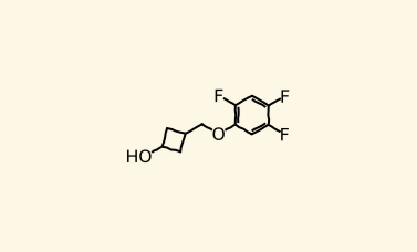 OC1CC(COc2cc(F)c(F)cc2F)C1